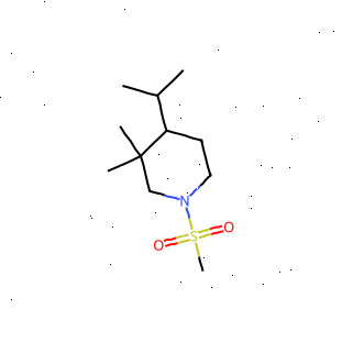 CC(C)C1CCN(S(C)(=O)=O)CC1(C)C